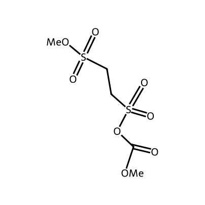 COC(=O)OS(=O)(=O)CCS(=O)(=O)OC